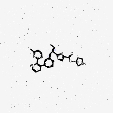 C=c1ccc(C2=C(c3cccc(C)n3)NC=CC2)c/c1=C/C(=C\C)c1nc(C(=O)O[C@H]2CCNC2)cs1